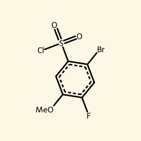 COc1cc(S(=O)(=O)Cl)c(Br)cc1F